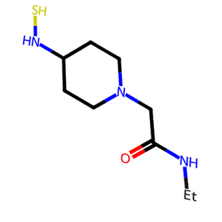 CCNC(=O)CN1CCC(NS)CC1